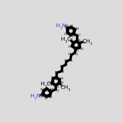 Cc1cc(CCCCCCCCc2cc(C)c(Cc3ccc(N)cc3)c(C)c2)cc(C)c1Cc1ccc(N)cc1